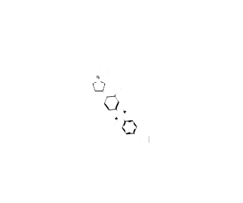 CN1CC[C@@H](C2C=CC(S(=O)(=O)c3ccc(O)cc3)=CC2O)C1